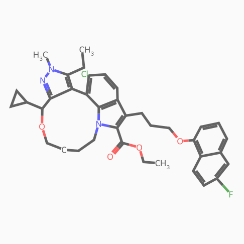 CCOC(=O)c1c(CCCOc2cccc3cc(F)ccc23)c2ccc(Cl)c3c2n1CCCCOC(C1CC1)c1nn(C)c(CC)c1-3